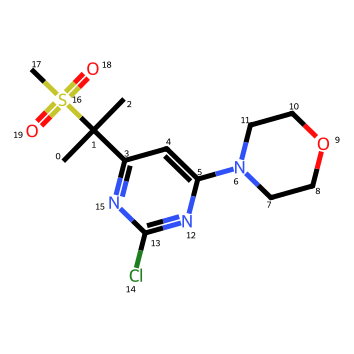 CC(C)(c1cc(N2CCOCC2)nc(Cl)n1)S(C)(=O)=O